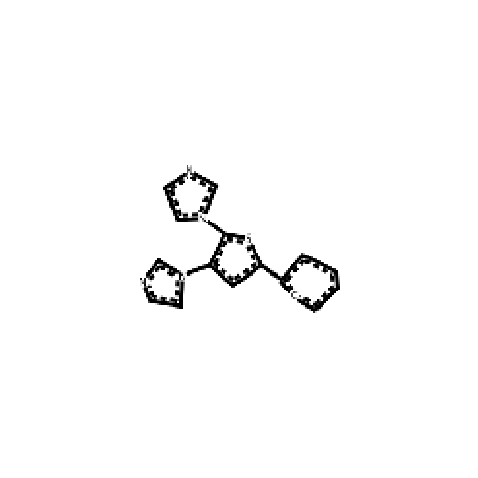 c1ccc(-c2cc(-n3ccnc3)c(-n3ccnc3)s2)cc1